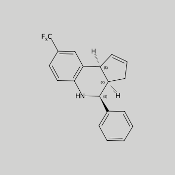 FC(F)(F)c1ccc2c(c1)[C@H]1C=CC[C@H]1[C@@H](c1ccccc1)N2